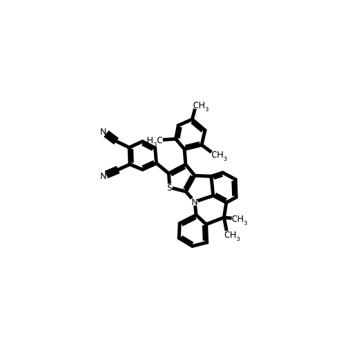 Cc1cc(C)c(-c2c(-c3ccc(C#N)c(C#N)c3)sc3c2c2cccc4c2n3-c2ccccc2C4(C)C)c(C)c1